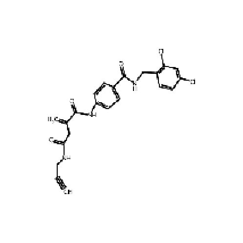 C#CCNC(=O)CC(=C)C(=O)Nc1ccc(C(=O)NCc2ccc(Cl)cc2Cl)cc1